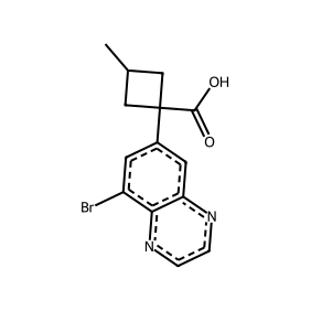 CC1CC(C(=O)O)(c2cc(Br)c3nccnc3c2)C1